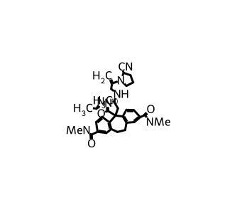 C=C(CN[C@@H](C)CC1(c2nnc(C)o2)c2ccc(C(=O)NC)cc2CCc2cc(C(=O)NC)ccc21)N1CCCC1C#N